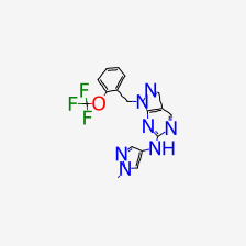 Cn1cc(Nc2ncc3cnn(Cc4ccccc4OC(F)(F)F)c3n2)cn1